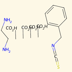 CC(=O)O.CC(=O)O.CC(=O)O.CC(=O)O.NCCN.S=C=NCc1ccccc1